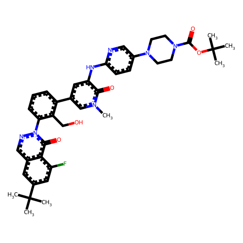 Cn1cc(-c2cccc(-n3ncc4cc(C(C)(C)C)cc(F)c4c3=O)c2CO)cc(Nc2ccc(N3CCN(C(=O)OC(C)(C)C)CC3)cn2)c1=O